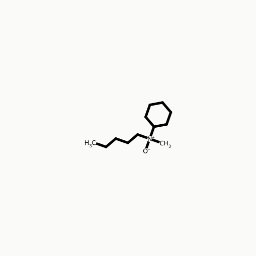 CCCCC[N+](C)([O-])C1CCCCC1